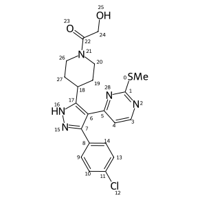 CSc1nccc(-c2c(-c3ccc(Cl)cc3)n[nH]c2C2CCN(C(=O)CO)CC2)n1